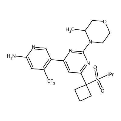 CC1COCCN1c1nc(-c2cnc(N)cc2C(F)(F)F)cc(C2(S(=O)(=O)C(C)C)CCC2)n1